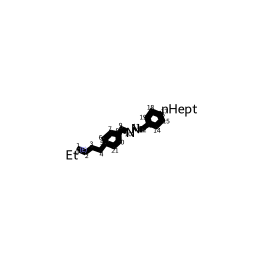 CC/C=C/CCc1ccc(C=NN=Cc2ccc(CCCCCCC)cc2)cc1